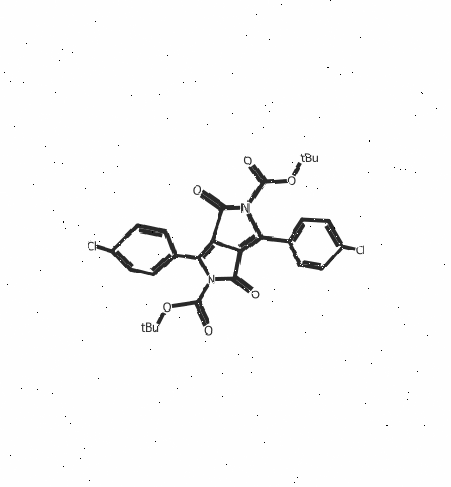 CC(C)(C)OC(=O)N1C(=O)C2=C(c3ccc(Cl)cc3)N(C(=O)OC(C)(C)C)C(=O)C2=C1c1ccc(Cl)cc1